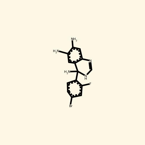 Nc1cc2c(cc1N)C(N)(c1ccc(Br)cc1F)NC=N2